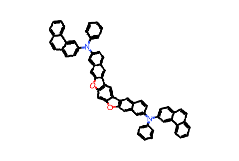 c1ccc(N(c2ccc3cc4c(cc3c2)oc2cc3oc5cc6cc(N(c7ccccc7)c7ccc8ccc9ccccc9c8c7)ccc6cc5c3cc24)c2ccc3ccc4ccccc4c3c2)cc1